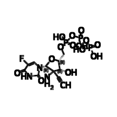 C#CC1(N)[C@@H](O)[C@@H](COP(=O)(O)OP(=O)(O)OP(=O)(O)O)O[C@H]1n1cc(F)c(=O)[nH]c1=O